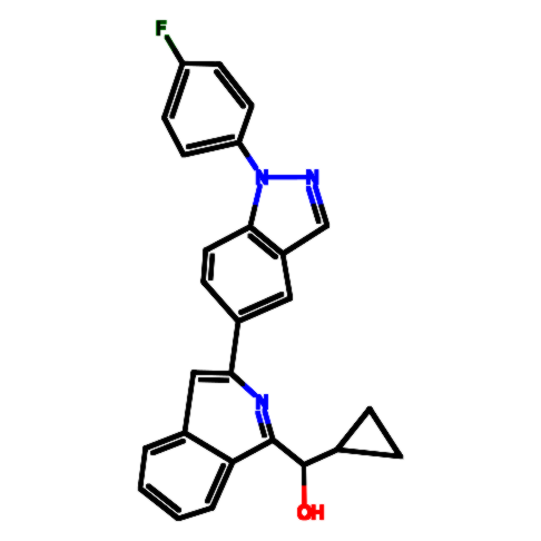 OC(c1nc(-c2ccc3c(cnn3-c3ccc(F)cc3)c2)cc2ccccc12)C1CC1